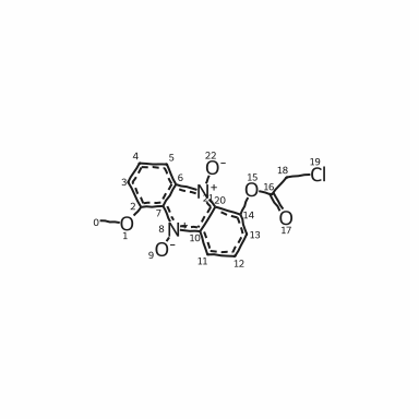 COc1cccc2c1[n+]([O-])c1cccc(OC(=O)CCl)c1[n+]2[O-]